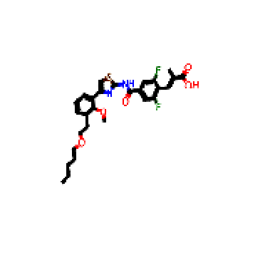 CCCCCOCCc1cccc(-c2csc(NC(=O)c3cc(F)c(/C=C(\C)C(=O)O)c(F)c3)n2)c1OC